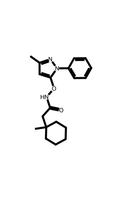 Cc1cc(ONC(=O)CC2(C)CCCCC2)n(-c2ccccc2)n1